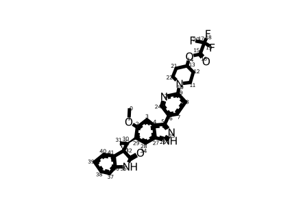 COc1cc2c(-c3ccc(N4CCC(OC(=O)C(F)(F)F)CC4)nc3)n[nH]c2cc1[C@@H]1C[C@@]12C(=O)Nc1ccccc12